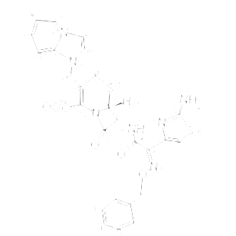 Nc1nc(/C(=N/OCc2ccccc2)C(=O)N[C@@H]2C(=O)N3C(C(=O)[O-])=C(Cn4cc[n+]5ccccc45)CS[C@H]23)cs1